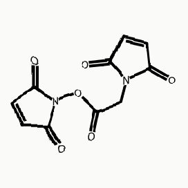 O=C(CN1C(=O)C=CC1=O)ON1C(=O)C=CC1=O